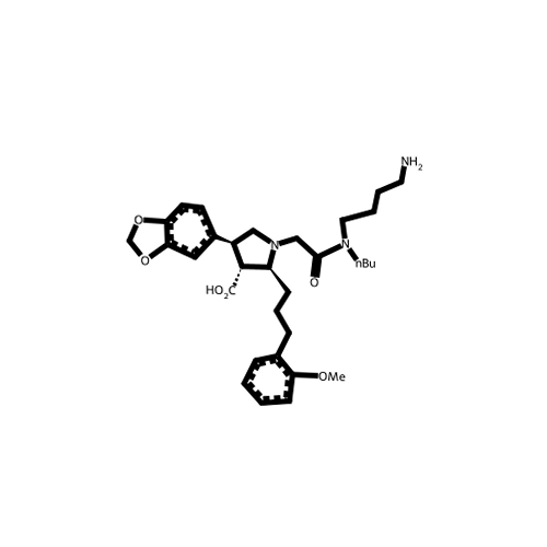 CCCCN(CCCCN)C(=O)CN1C[C@H](c2ccc3c(c2)OCO3)[C@@H](C(=O)O)[C@@H]1CCCc1ccccc1OC